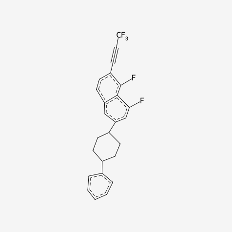 Fc1cc(C2CCC(c3ccccc3)CC2)cc2ccc(C#CC(F)(F)F)c(F)c12